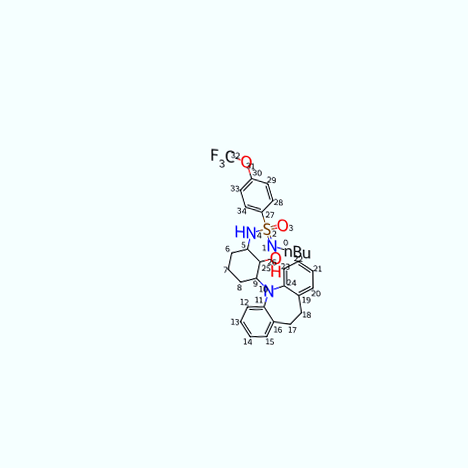 CCCCN=S(=O)(NC1CCCC(N2c3ccccc3CCc3ccccc32)C1O)c1ccc(OC(F)(F)F)cc1